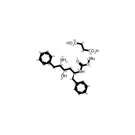 CC(C)(C)OC(=O)N[C@@H](Cc1ccccc1)C[C@H](O)[C@@H](N)Cc1ccccc1.O=C(O)CCC(=O)O